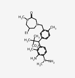 CCC1CN(Cc2cc(C(c3ccc(N(C)N)c(N)c3C)C(C)(C)C(=O)O)ccc2C)CC(=O)N(C)C1